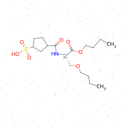 CCCCOC[C@H](NC(=O)C1CCC(S(=O)(=O)O)C1)C(=O)OCCCC